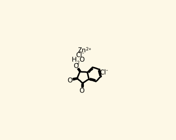 O.O=c1c(=O)c2ccccc2c1=O.[Cl-].[Cl-].[Zn+2]